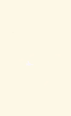 Cc1ccc(S(=O)(=O)Nc2cc(C=O)cc(C=O)c2)cc1